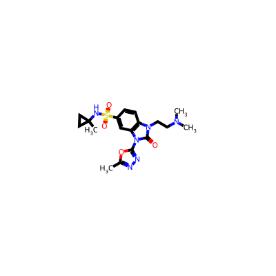 Cc1nnc(-n2c(=O)n(CCN(C)C)c3ccc(S(=O)(=O)NC4(C)CC4)cc32)o1